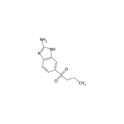 CCCS(=O)(=O)c1ccc2nc(N)[nH]c2c1